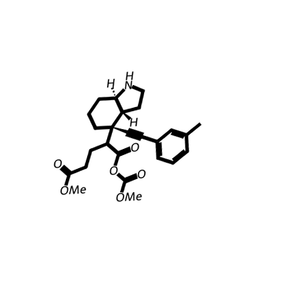 COC(=O)CCC(C(=O)OC(=O)OC)[C@]1(C#Cc2cccc(C)c2)CCC[C@H]2NCC[C@@H]21